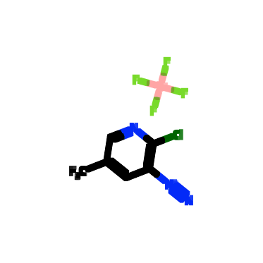 F[B-](F)(F)F.N#[N+]c1cc(C(F)(F)F)cnc1Cl